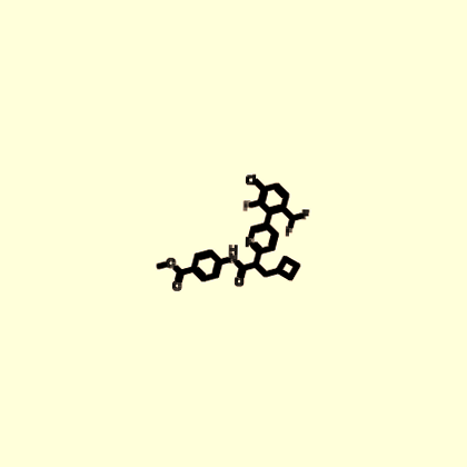 COC(=O)c1ccc(NC(=O)C(CC2CCC2)c2ccc(-c3c(C(F)F)ccc(Cl)c3F)cn2)cc1